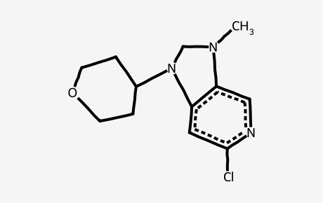 CN1CN(C2CCOCC2)c2cc(Cl)ncc21